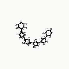 c1ccc(-c2ccc(-c3ccc(-c4ccc(-c5ccc(-c6ccccc6)s5)s4)s3)s2)cc1